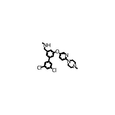 CNCc1cc(Oc2ccc(N3CCN(C)CC3)nc2)cc(-c2cc(Cl)cc(Cl)c2)c1